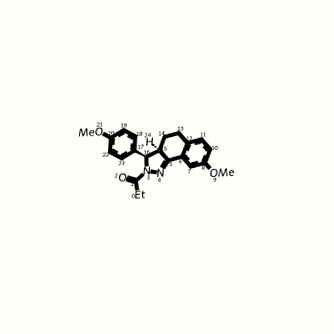 CCC(=O)N1N=C2c3cc(OC)ccc3CC[C@@H]2[C@@H]1c1ccc(OC)cc1